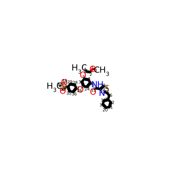 COC[C@H](C)Oc1cc(NC(=O)c2csc(Cc3ccccc3)n2)cc(Oc2ccc(S(C)(=O)=O)cc2)c1